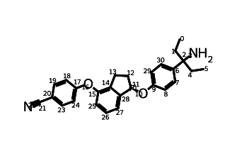 CCC(N)(CC)c1ccc(O[C@@H]2CCc3c(Oc4ccc(C#N)cc4)cccc32)cc1